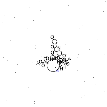 COc1ccc2c(O[C@@H]3C[C@H]4C(=O)N[C@]5(C(=O)NS(=O)(=O)C6CC6)C[C@H]5/C=C\CCCCC[C@H](NC(=O)OC(C)(C)C)C(=O)N4C3)c3oc4cc(OC)ccc4c3nc2c1